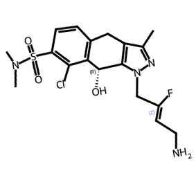 Cc1nn(C/C(F)=C/CN)c2c1Cc1ccc(S(=O)(=O)N(C)C)c(Cl)c1[C@H]2O